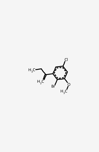 C=C(CC)c1cc(Cl)cc(OC)c1Br